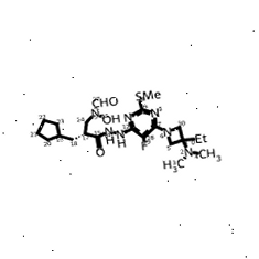 CCC1(N(C)C)CN(c2nc(SC)nc(NNC(=O)[C@H](CC3CCCC3)CN(O)C=O)c2F)C1